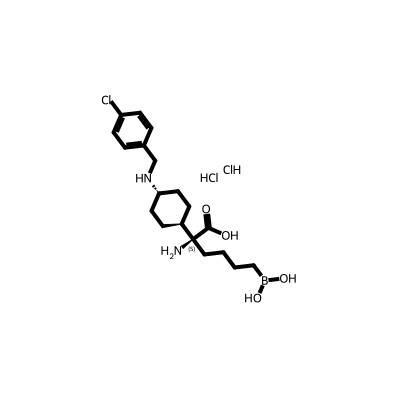 Cl.Cl.N[C@](CCCCB(O)O)(C(=O)O)[C@H]1CC[C@H](NCc2ccc(Cl)cc2)CC1